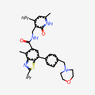 CCCc1cc(C)[nH]c(=O)c1CNC(=O)c1cc(-c2ccc(CN3CCOCC3)cc2)c2sc(C(C)C)nc2c1C